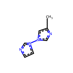 Cc1cn(-n2ccnc2)cn1